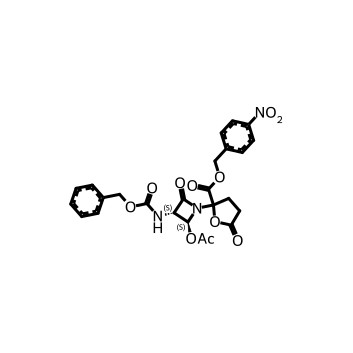 CC(=O)O[C@H]1[C@H](NC(=O)OCc2ccccc2)C(=O)N1C1(C(=O)OCc2ccc([N+](=O)[O-])cc2)CCC(=O)O1